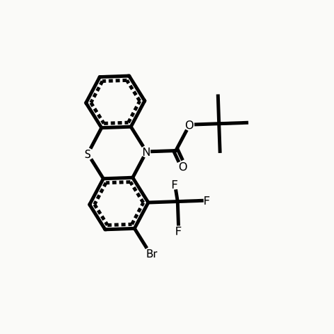 CC(C)(C)OC(=O)N1c2ccccc2Sc2ccc(Br)c(C(F)(F)F)c21